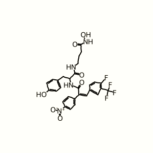 O=C(CCCNC(=O)C(Cc1ccc(O)cc1)NC(=O)/C(=C\c1ccc(F)c(C(F)(F)F)c1)c1ccc([N+](=O)[O-])cc1)NO